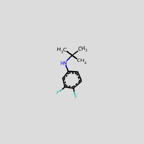 CC(C)(C)Nc1ccc(F)c(F)c1